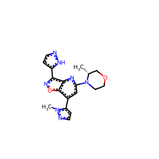 C[C@@H]1COCCN1c1cc(-c2ccnn2C)c2onc(-c3ccn[nH]3)c2n1